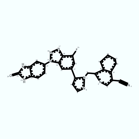 N#Cc1cnc(Cn2nccc2-c2cc(F)c3nnn(-c4ccc5[nH]c(=O)[nH]c5c4)c3c2)c2ccccc12